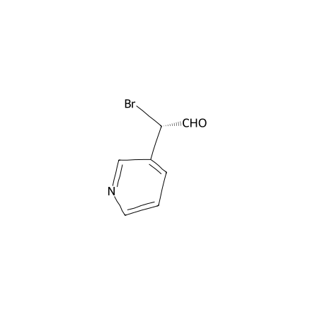 O=C[C@@H](Br)c1cccnc1